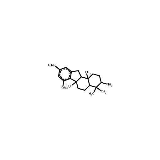 COc1cc(NC(C)=O)cc2c1C1(C)CCC3C(C)(C)C(N)CCC3(C)C1C2